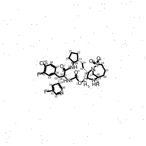 COC(=O)N[C@H](C(=O)N[C@H]1CCC[C@@H]1CC[C@H]1CN[C@@H]2CCCS(=O)(=O)N1C2)[C@H](c1cncc(F)c1)c1ccc(Cl)c(F)c1